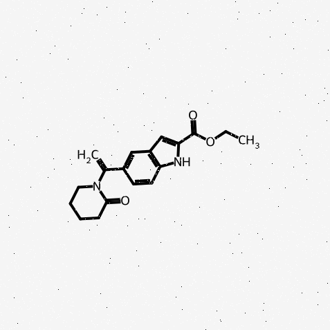 C=C(c1ccc2[nH]c(C(=O)OCC)cc2c1)N1CCCCC1=O